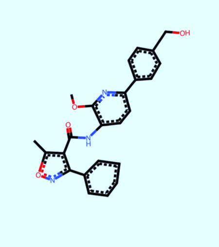 COc1nc(-c2ccc(CO)cc2)ccc1NC(=O)c1c(-c2ccccc2)noc1C